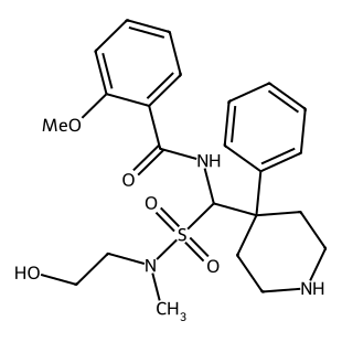 COc1ccccc1C(=O)NC(C1(c2ccccc2)CCNCC1)S(=O)(=O)N(C)CCO